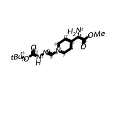 COC(=O)[C@@H](N)C1CCN(C=NNC(=O)OC(C)(C)C)CC1